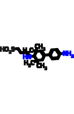 CC1(C)C=C(c2ccc(N)cc2)CC(C)(C)C1NCCCS(=O)(=O)O